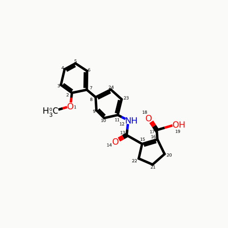 COc1ccccc1-c1ccc(NC(=O)C2=C(C(=O)O)CCC2)cc1